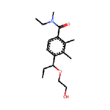 CCC(OCCO)c1ccc(C(=O)N(C)CC)c(C)c1C